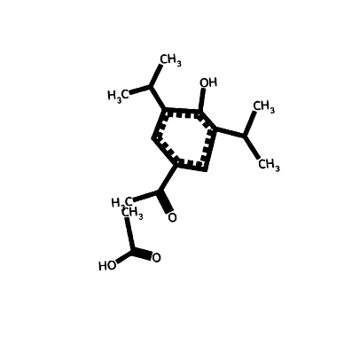 CC(=O)O.CC(=O)c1cc(C(C)C)c(O)c(C(C)C)c1